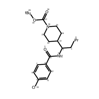 CC(C)CC(NC(=O)c1ccc(Cl)cc1)C1CCN(C(=O)OC(C)(C)C)CC1